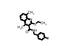 CCSc1nc2c(C)cccc2c(C)c1C(=O)NCc1ccc(F)cc1